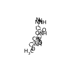 COc1cccc2c(C)c(C(=O)N3CCC4(CC3)NC(=O)c3cc(-c5nnn[nH]5)ccc3O4)[nH]c12